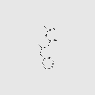 CC(=S)OC(=O)CC(C)Cc1ccccc1